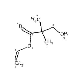 C=COC(=O)C(C)(C)CO